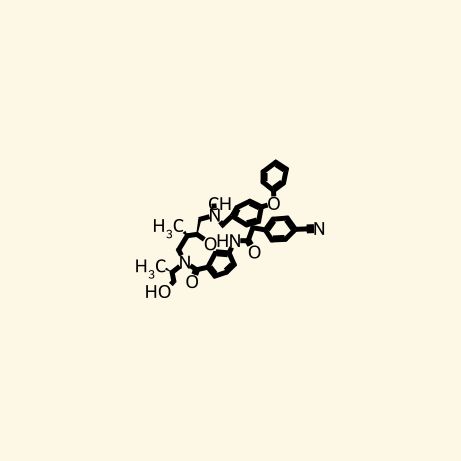 C[C@@H]1CN([C@@H](C)CO)C(=O)c2cccc(NC(=O)Cc3ccc(C#N)cc3)c2O[C@@H]1CN(C)Cc1ccc(Oc2ccccc2)cc1